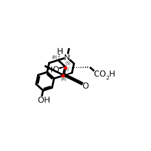 CN1CC[C@]23CC(=O)[C@@H](CC(=O)O)C[C@@]2(O)[C@H]1Cc1ccc(O)cc13